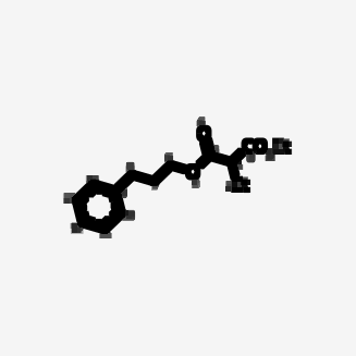 CCOC(=O)C(CC)C(=O)OCCCc1ccccc1